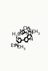 CCN(C)c1cncc(-c2ccc3ncc4c(c3c2)n(-c2cn(C)nc2C)c(=O)n4C)c1